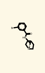 O=C(NC1CN2CCC1CC2)c1cccc(Br)c1